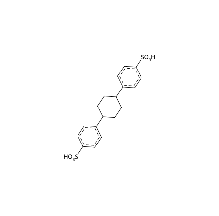 O=S(=O)(O)c1ccc(C2CCC(c3ccc(S(=O)(=O)O)cc3)CC2)cc1